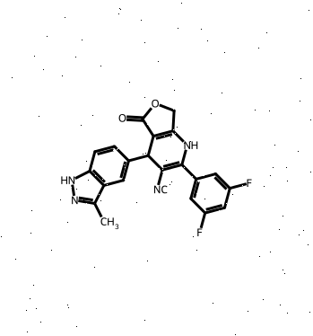 [C-]#[N+]C1=C(c2cc(F)cc(F)c2)NC2=C(C(=O)OC2)C1c1ccc2[nH]nc(C)c2c1